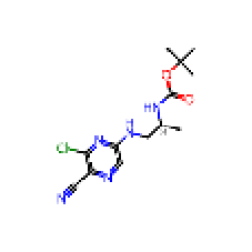 C[C@@H](CNc1cnc(C#N)c(Cl)n1)NC(=O)OC(C)(C)C